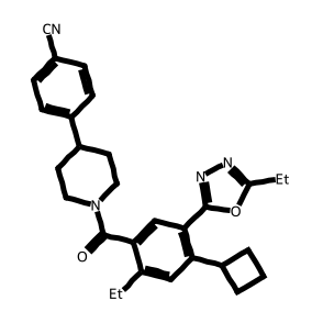 CCc1nnc(-c2cc(C(=O)N3CCC(c4ccc(C#N)cc4)CC3)c(CC)cc2C2CCC2)o1